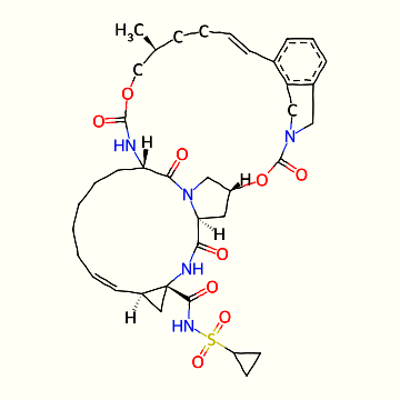 C[C@H]1CC/C=C/c2cccc3c2CN(C3)C(=O)O[C@@H]2C[C@H]3C(=O)N[C@]4(C(=O)NS(=O)(=O)C5CC5)C[C@H]4/C=C\CCCCC[C@H](NC(=O)OC1)C(=O)N3C2